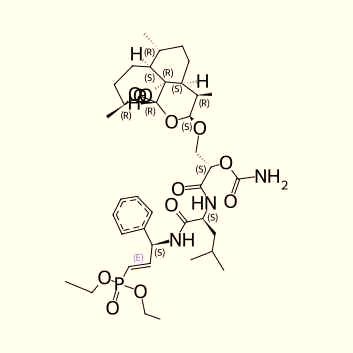 CCOP(=O)(/C=C/[C@H](NC(=O)[C@H](CC(C)C)NC(=O)[C@H](CO[C@H]1O[C@@H]2O[C@@]3(C)CC[C@H]4[C@H](C)CC[C@@H]([C@H]1C)[C@@]24OO3)OC(N)=O)c1ccccc1)OCC